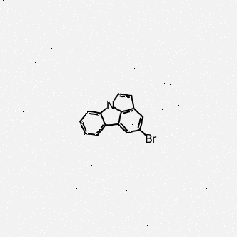 Brc1cc2ccn3c4ccccc4c(c1)c23